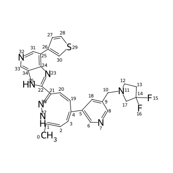 Cc1ccc(-c2cncc(CN3CCC(F)(F)C3)c2)ccc(-c2nc3c(-c4ccsc4)cncc3[nH]2)n[nH]1